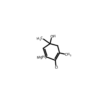 CC1=C(Cl)C=CC(C)(O)C1.[MgH2]